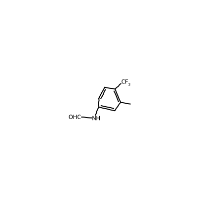 Cc1cc(NC=O)ccc1C(F)(F)F